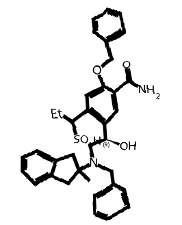 CCC(c1cc(OCc2ccccc2)c(C(N)=O)cc1[C@@H](O)CN(Cc1ccccc1)C1(C)Cc2ccccc2C1)S(=O)(=O)O